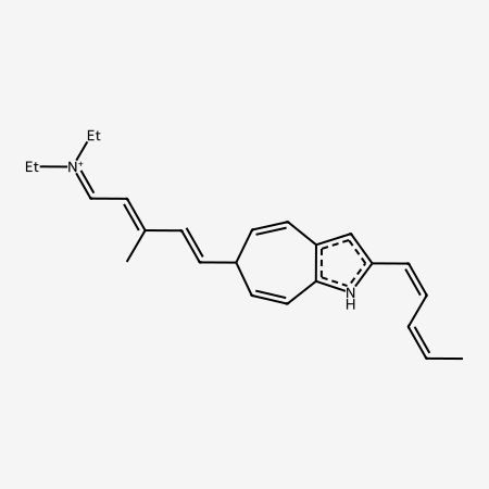 C/C=C\C=C/c1cc2c([nH]1)C=CC(/C=C/C(C)=C/C=[N+](CC)CC)C=C2